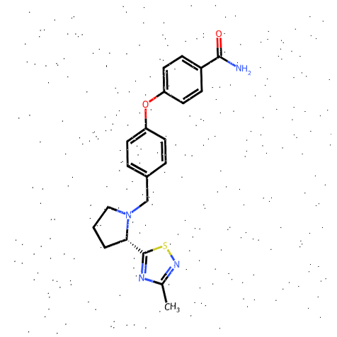 Cc1nsc([C@@H]2CCCN2Cc2ccc(Oc3ccc(C(N)=O)cc3)cc2)n1